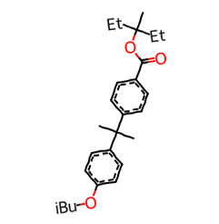 CCC(C)Oc1ccc(C(C)(C)c2ccc(C(=O)OC(C)(CC)CC)cc2)cc1